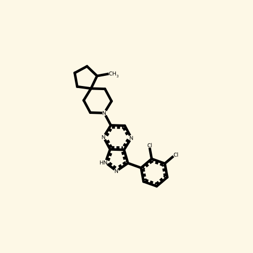 CC1CCCC12CCN(c1cnc3c(-c4cccc(Cl)c4Cl)n[nH]c3n1)CC2